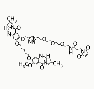 COc1cc2c(cc1OCCCCCOc1cc3c(cc1OCc1cn(CCOCCOCCOCCNC(=O)CCN4C(=O)C=CC4=O)nn1)C(=O)N1C=C(C)C[C@H]1C=N3)N=C[C@@H]1CC(C)=CN1C2=O